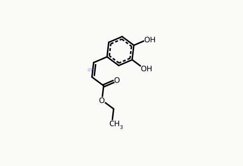 CCOC(=O)/C=C\c1ccc(O)c(O)c1